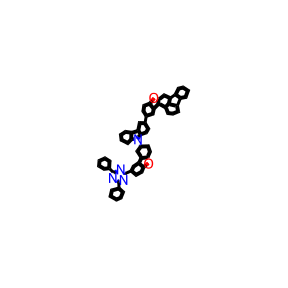 c1ccc(-c2nc(-c3ccccc3)nc(-c3ccc4oc5ccc(-n6c7ccccc7c7cc(-c8ccc9oc%10cc%11c%12c(cccc%12c%10c9c8)-c8ccccc8-%11)ccc76)cc5c4c3)n2)cc1